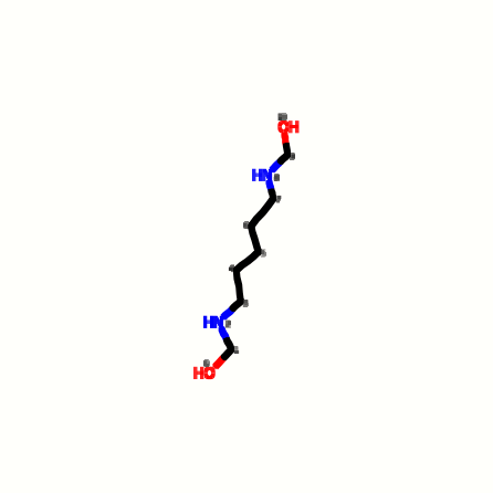 OCNCCCCCNCO